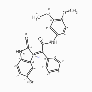 COc1ccc(NC(=O)/C(=C2\C(=O)Nc3ccc(Br)cc32)c2ccccc2)cc1OC